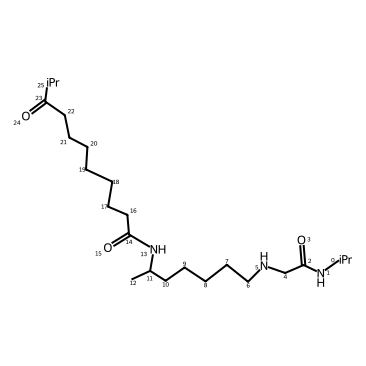 CC(C)NC(=O)CNCCCCCC(C)NC(=O)CCCCCCCC(=O)C(C)C